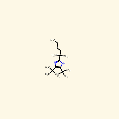 CCCCC(C)(C)c1nc(C(C)(C)C)c(C(C)(C)C)[nH]1